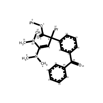 CC(C)OC(=O)C(C=C(N(C)C)N(C)C)(c1cccc(C(=O)c2ccccc2)c1)C(C)C